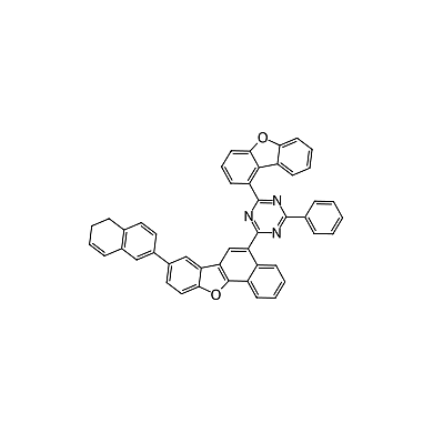 C1=Cc2cc(-c3ccc4oc5c6ccccc6c(-c6nc(-c7ccccc7)nc(-c7cccc8oc9ccccc9c78)n6)cc5c4c3)ccc2CC1